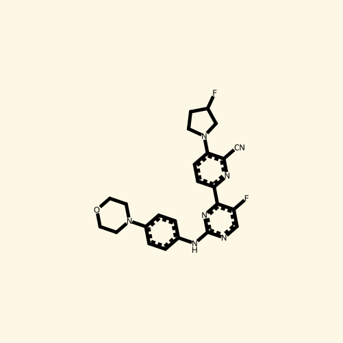 N#Cc1nc(-c2nc(Nc3ccc(N4CCOCC4)cc3)ncc2F)ccc1N1CCC(F)C1